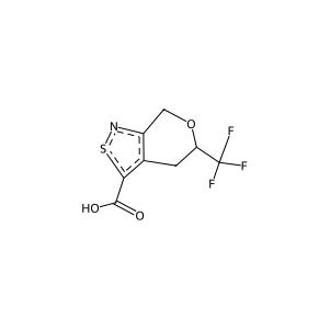 O=C(O)c1snc2c1CC(C(F)(F)F)OC2